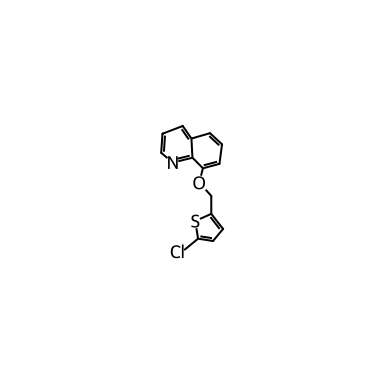 Clc1ccc(COc2cccc3cccnc23)s1